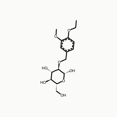 CCOc1ccc(CO[C@@H]2[C@@H](O)[C@H](O)[C@@H](CO)O[C@H]2O)cc1OC